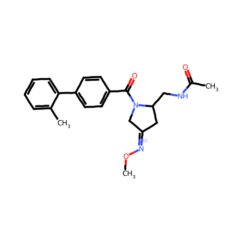 CO/N=C1/CC(CNC(C)=O)N(C(=O)c2ccc(-c3ccccc3C)cc2)C1